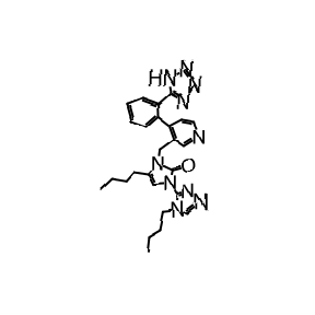 CCCCc1cn(-c2nncn2CCCC)c(=O)n1Cc1cnccc1-c1ccccc1-c1nnn[nH]1